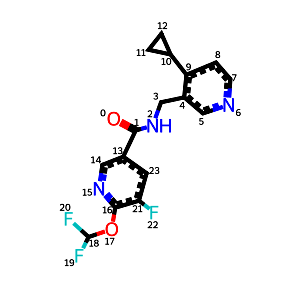 O=C(NCc1cnccc1C1CC1)c1cnc(OC(F)F)c(F)c1